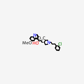 COc1ccc2nccc([C@H](O)CC[C@@H]3CCN(CCCc4ccccc4Cl)C[C@@H]3C(=O)O)c2c1